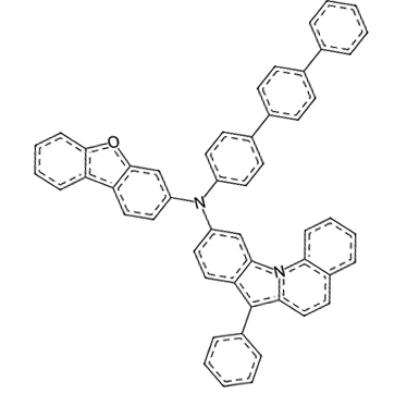 c1ccc(-c2ccc(-c3ccc(N(c4ccc5c(c4)oc4ccccc45)c4ccc5c(-c6ccccc6)c6ccc7ccccc7n6c5c4)cc3)cc2)cc1